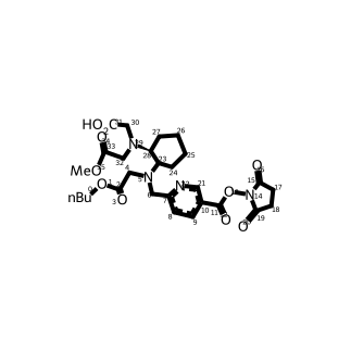 CCCCOC(=O)CN(Cc1ccc(C(=O)ON2C(=O)CCC2=O)cn1)C1CCCC[C@@H]1N(CC(=O)O)CC(=O)OC